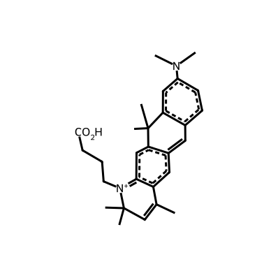 CC1=CC(C)(C)[N+](CCCC(=O)O)=c2cc3c(cc21)=Cc1ccc(N(C)C)cc1C3(C)C